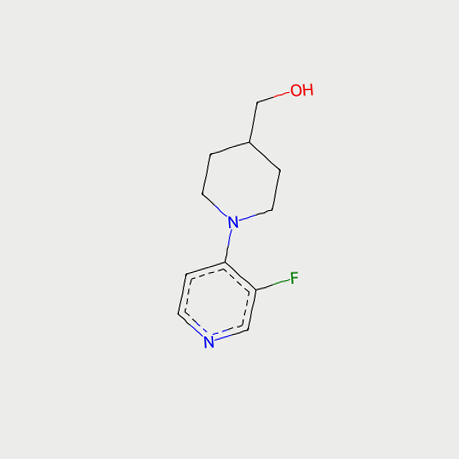 OCC1CCN(c2ccncc2F)CC1